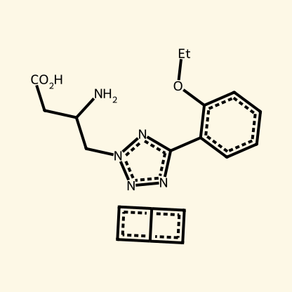 CCOc1ccccc1-c1nnn(CC(N)CC(=O)O)n1.c1cc2ccc1-2